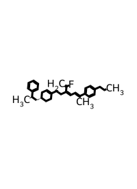 C=C(F)/C(=C\C=C(/C)c1ccc(CCC)cc1)CCC1=CC[C@@H](C[C@H](C)c2ccccc2)CC1